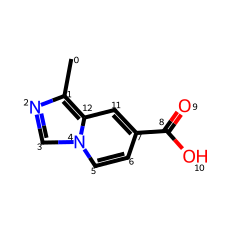 Cc1ncn2ccc(C(=O)O)cc12